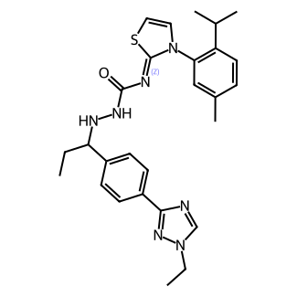 CCC(NNC(=O)/N=c1\sccn1-c1cc(C)ccc1C(C)C)c1ccc(-c2ncn(CC)n2)cc1